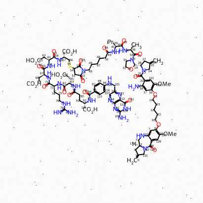 C=C1C[C@H]2CNc3cc(OCCCCCOc4cc(N)c(C(=O)N5CC(=C)C[C@H]5C5OCCN5C(=O)[C@H](C)NC(=O)[C@@H](NC(=O)CCCCCN5C(=O)CC(SC[C@H](NC(=O)[C@H](CC(=O)O)NC(=O)[C@H](CC(=O)O)NC(=O)[C@H](CCCNC(=N)N)NC(=O)[C@H](CC(=O)O)NC(=O)CC[C@H](NC(=O)c6ccc(NCc7cnc8nc(N)[nH]c(=O)c8n7)cc6)C(=O)O)C(=O)O)C5=O)C(C)C)cc4OC)c(OC)cc3C(=O)N2C1